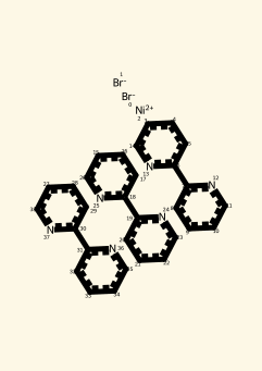 [Br-].[Br-].[Ni+2].c1ccc(-c2ccccn2)nc1.c1ccc(-c2ccccn2)nc1.c1ccc(-c2ccccn2)nc1